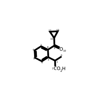 CC(C(=O)O)c1ccccc1C(=O)C1CC1